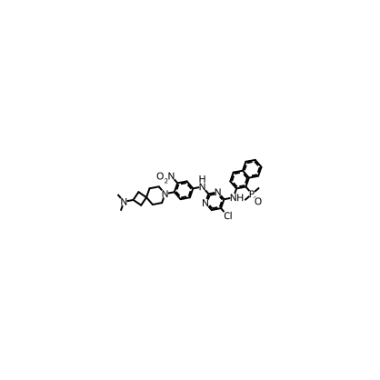 CN(C)C1CC2(CCN(c3ccc(Nc4ncc(Cl)c(Nc5ccc6ccccc6c5P(C)(C)=O)n4)cc3[N+](=O)[O-])CC2)C1